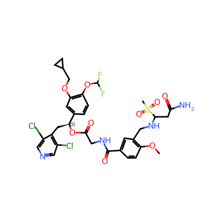 COc1ccc(C(=O)NCC(=O)O[C@@H](Cc2c(Cl)cncc2Cl)c2ccc(OC(F)F)c(OCC3CC3)c2)cc1CNC(CC(N)=O)S(C)(=O)=O